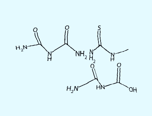 CNC(N)=S.NC(=O)NC(=O)O.NC(=O)NC(N)=O